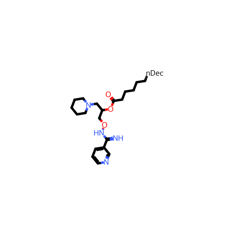 CCCCCCCCCCCCCCCC(=O)OC(CONC(=N)c1cccnc1)CN1CCCCC1